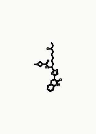 CCC(=O)CCCCC[C@H](NC(=O)C1CN(C)C1)c1ncc(-c2cc3ccccc3[nH]c2=O)o1